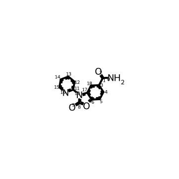 NC(=O)c1ccc2oc(=O)n(-c3ccccn3)c2c1